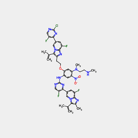 C=C(C)c1c(C)nc2c(F)cc(-c3nc(Nc4cc([N+](=O)[O-])c(N(C)CCNC)cc4OCCc4nc5c(F)cc(-c6nc(Cl)ncc6F)cn5c4C(=C)C)ncc3F)cn12